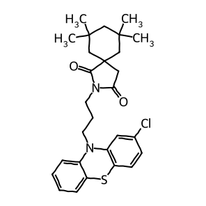 CC1(C)CC(C)(C)CC2(CC(=O)N(CCCN3c4ccccc4Sc4ccc(Cl)cc43)C2=O)C1